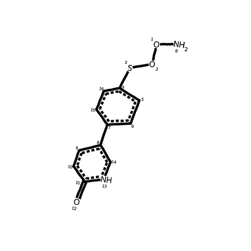 NOOSc1ccc(-c2ccc(=O)[nH]c2)cc1